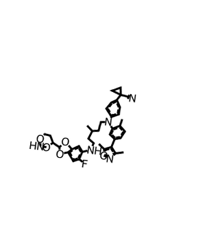 Cc1ccc(-c2c(C)noc2C)cc1N(CCC(C)CCNc1cc2c(cc1F)OC(C1CCONO1)O2)c1ccc(C2(C#N)CC2)cc1